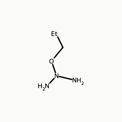 CCCON(N)N